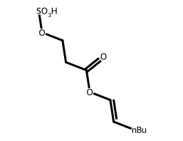 CCCCC=COC(=O)CCOS(=O)(=O)O